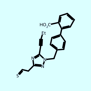 CCC#Cc1nc(CC=S)nn1Cc1ccc(-c2ccccc2C(=O)O)cc1